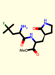 COC(=O)C(C[C@@H]1CCNC1=O)NC(=O)C(N)CC(C)(C)F